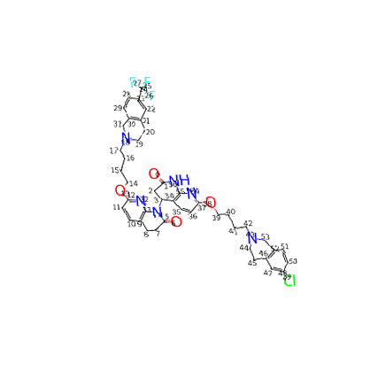 O=C1CC(N2C(=O)CCc3ccc(OCCCCN4CCc5cc(C(F)(F)F)ccc5C4)nc32)c2ccc(OCCCCN3CCc4cc(Cl)ccc4C3)nc2N1